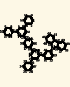 c1ccc(-c2cc(-c3ccccn3)nc(-c3ccc(-c4nc(-c5ccccc5)cc(-c5cccc(-n6c7ccccc7c7ccccc76)c5)n4)cn3)c2)cc1